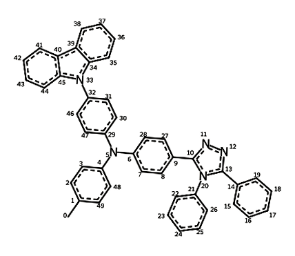 Cc1ccc(N(c2ccc(-c3nnc(-c4ccccc4)n3-c3ccccc3)cc2)c2ccc(-n3c4ccccc4c4ccccc43)cc2)cc1